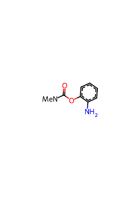 CNC(=O)Oc1ccccc1N